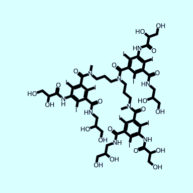 CN(CCCN(CCCN(C)C(=O)c1c(I)c(NC(=O)C(O)CO)c(I)c(C(=O)NCC(O)CO)c1I)C(=O)c1c(I)c(NC(=O)C(O)CO)c(I)c(C(=O)NCC(O)CO)c1I)C(=O)c1c(I)c(NC(=O)C(O)CO)c(I)c(C(=O)NCC(O)CO)c1I